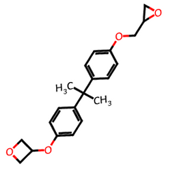 CC(C)(c1ccc(OCC2CO2)cc1)c1ccc(OC2COC2)cc1